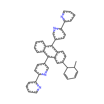 CC1C=CC=CC1c1ccc2c(-c3ccc(-c4ccccn4)nc3)c3ccccc3c(-c3ccc(-c4ccccn4)nc3)c2c1